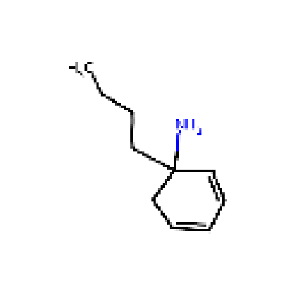 CCCCC1(N)C=CC=CC1